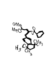 COC(CC(=Cc1ccc2c(c1)C(C)(C)CCC2(C)C)OC(=O)c1ccccc1)OC